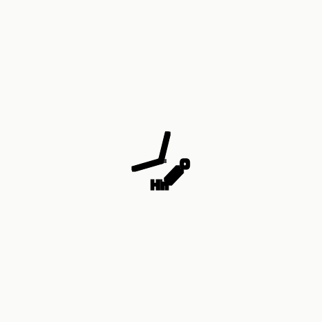 C[CH]C.[O]=[InH]